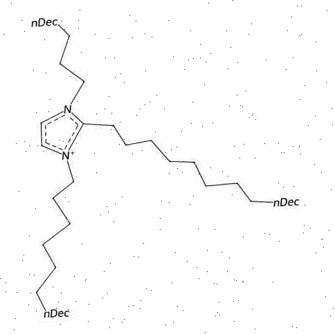 CCCCCCCCCCCCCCCCCCc1n(CCCCCCCCCCCCC)cc[n+]1CCCCCCCCCCCCCCCC